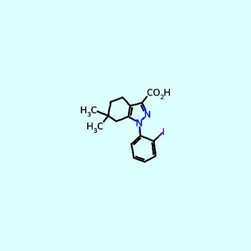 CC1(C)CCc2c(C(=O)O)nn(-c3ccccc3I)c2C1